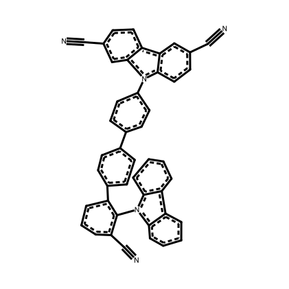 N#Cc1ccc2c(c1)c1ccc(C#N)cc1n2-c1ccc(-c2ccc(-c3cccc(C#N)c3-n3c4ccccc4c4ccccc43)cc2)cc1